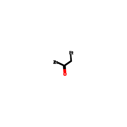 CCC[C](=O)[Zn]